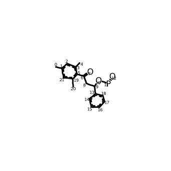 Cc1cc(C)c(C(=O)CC(OP=O)c2ccccc2)c(C)c1